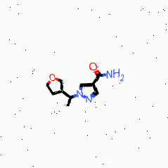 CC(C1CCOC1)n1cc(C(N)=O)cn1